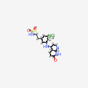 Cl.Cl.O=c1ccc2c(Nc3cccc(CCN[SH](=O)=O)c3)ccnc2[nH]1